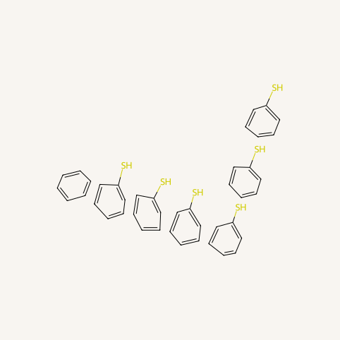 Sc1ccccc1.Sc1ccccc1.Sc1ccccc1.Sc1ccccc1.Sc1ccccc1.Sc1ccccc1.c1ccccc1